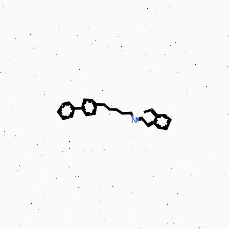 C/C=c1/cccc/c1=C/C=N/CCCCCc1ccc(-c2ccccc2)cc1